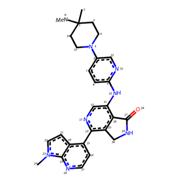 CNC1(C)CCN(c2ccc(Nc3cnc(-c4ccnc5c4ccn5C)c4c3C(=O)NC4)nc2)CC1